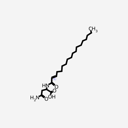 CCCCCCCCCCCCCCC/C=C/C(=O)NC(CC(N)=O)C(=O)O